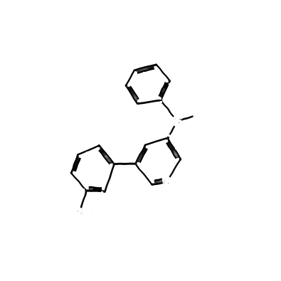 CC(=O)Nc1cccc(-c2cncc(N(C)c3ccccc3)c2)c1